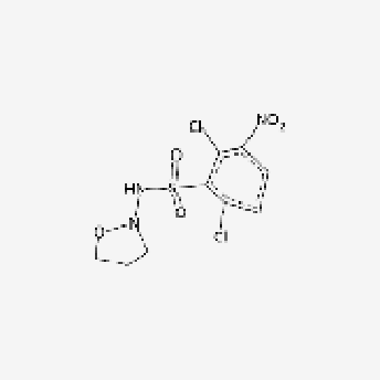 O=[N+]([O-])c1ccc(Cl)c(S(=O)(=O)NN2CCCO2)c1Cl